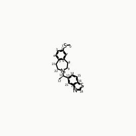 CSc1ccc2c(c1)CCN([C@H](C)c1ccc3scnc3c1)CC2